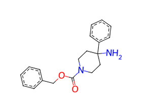 NC1(c2ccccc2)CCN(C(=O)OCc2ccccc2)CC1